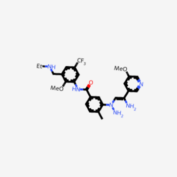 CCNCc1cc(C(F)(F)F)cc(NC(=O)c2ccc(C)c(N(N)/C=C(\N)c3cncc(OC)c3)c2)c1OC